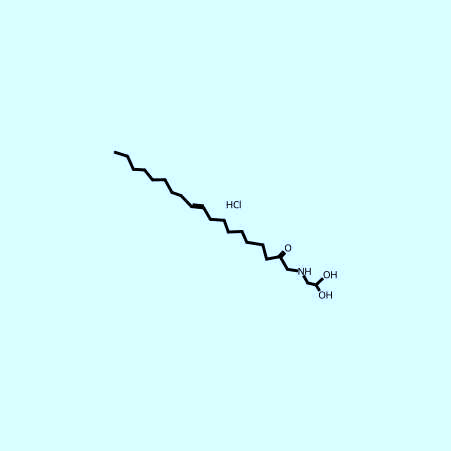 CCCCCCCCC=CCCCCCCCC(=O)CNCC(O)O.Cl